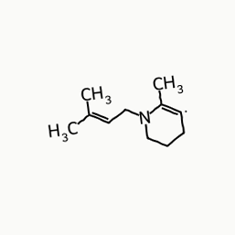 CC1=[C]CCCN1CC=C(C)C